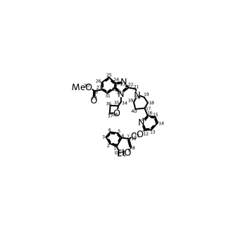 CCc1ccccc1/C(=C\O)COc1cccc(C2CCN(Cc3nc4ccc(C(=O)OC)cc4n3CC3CCO3)CC2)n1